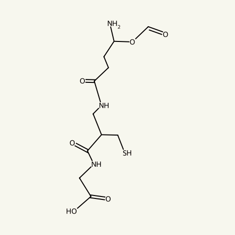 NC(CCC(=O)NCC(CS)C(=O)NCC(=O)O)OC=O